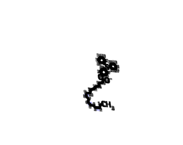 CC/C=C\C/C=C\C/C=C\CCCCCCCC(=O)[O-].c1ccc([S+](c2ccccc2)c2ccccc2)cc1